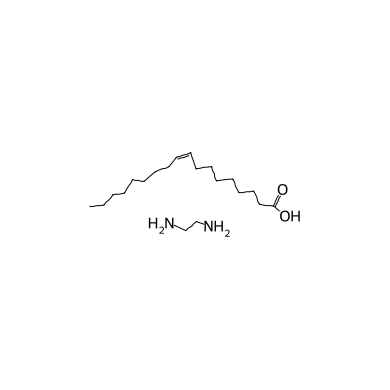 CCCCCCCC/C=C\CCCCCCCC(=O)O.NCCN